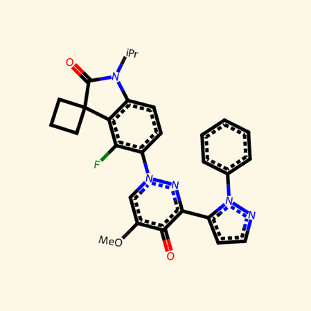 COc1cn(-c2ccc3c(c2F)C2(CCC2)C(=O)N3C(C)C)nc(-c2ccnn2-c2ccccc2)c1=O